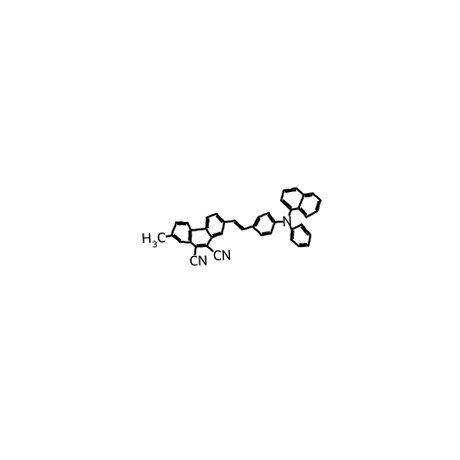 Cc1ccc2c(c1)c(C#N)c(C#N)c1cc(C=Cc3ccc(N(c4ccccc4)c4cccc5ccccc45)cc3)ccc12